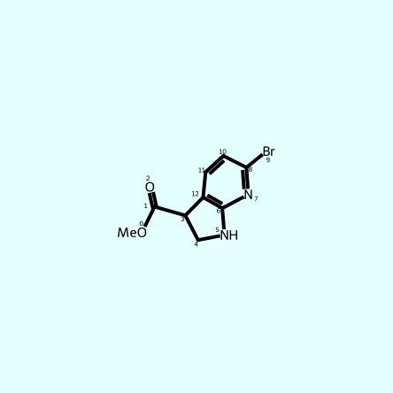 COC(=O)C1CNc2nc(Br)ccc21